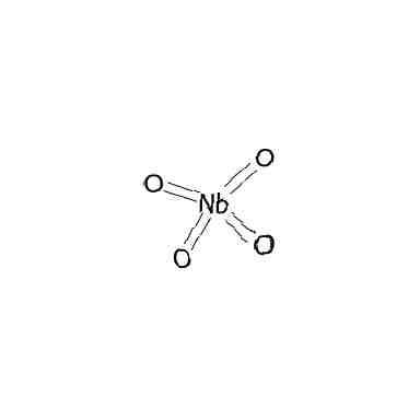 [O]=[Nb](=[O])(=[O])=[O]